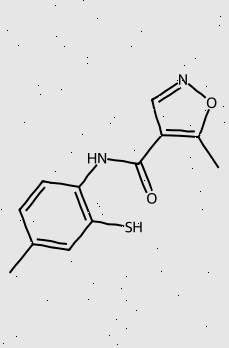 Cc1ccc(NC(=O)c2cnoc2C)c(S)c1